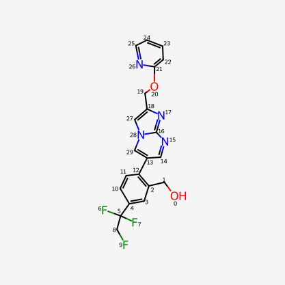 OCc1cc(C(F)(F)CF)ccc1-c1cnc2nc(COc3ccccn3)cn2c1